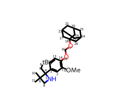 COc1cc(C2(CC(C)(C)C)NCC2(C)C)ccc1OCOC12CC3CC(CC(C3)C1)C2